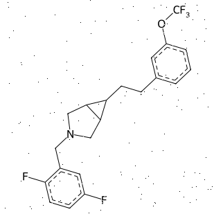 Fc1ccc(F)c(CN2CC3C(C[CH]c4cccc(OC(F)(F)F)c4)C3C2)c1